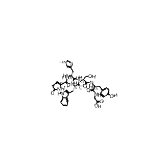 O=C(O)CNC(=O)[C@H](Cc1ccc(O)cc1)NC(=O)[C@H](CO)NC(=O)[C@H](Cc1c[nH]c2ccccc12)NC(=O)[C@H](Cc1c[nH]cn1)NC(=O)[C@@H]1CCC(=O)N1